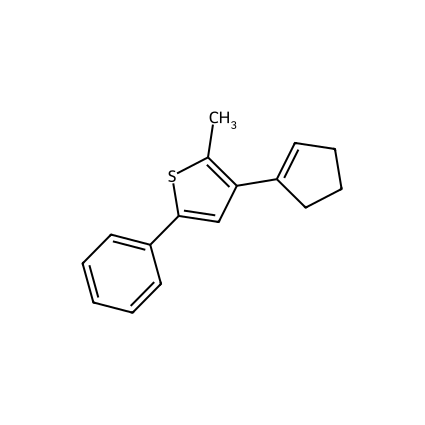 Cc1sc(-c2ccccc2)cc1C1=CCCC1